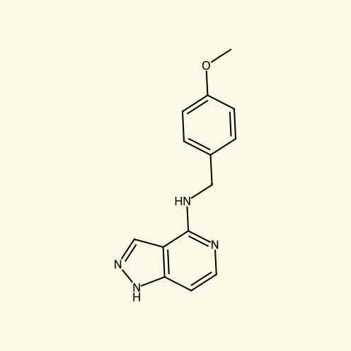 COc1ccc(CNc2nccc3[nH]ncc23)cc1